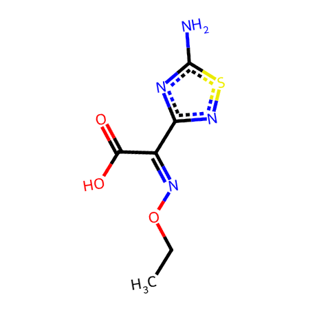 CCON=C(C(=O)O)c1nsc(N)n1